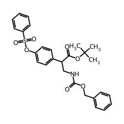 CC(C)(C)OC(=O)C(CNC(=O)OCc1ccccc1)c1ccc(OS(=O)(=O)c2ccccc2)cc1